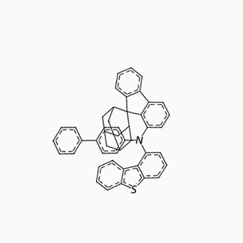 c1ccc(-c2ccc(N(c3cccc4c3C3(c5ccccc5-4)C4CC5CC(C4)CC3C5)c3cccc4sc5ccccc5c34)cc2)cc1